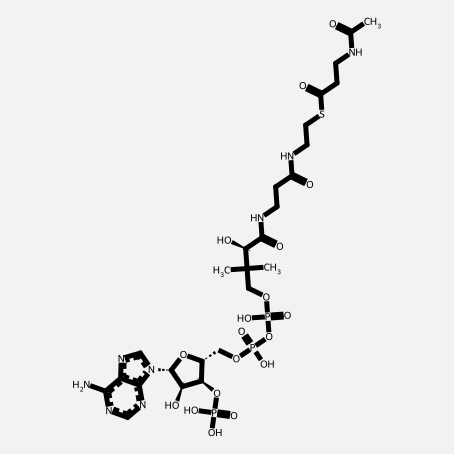 CC(=O)NCCC(=O)SCCNC(=O)CCNC(=O)[C@H](O)C(C)(C)COP(=O)(O)OP(=O)(O)OC[C@H]1O[C@@H](n2cnc3c(N)ncnc32)[C@H](O)[C@@H]1OP(=O)(O)O